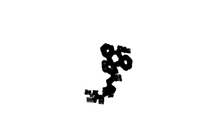 CC(=O)OC1c2ccccc2C(=O)N(CC(=O)NCc2cnc(NC(=N)N)s2)c2ccccc21